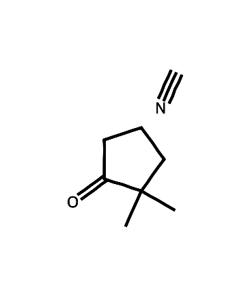 C#N.CC1(C)CCCC1=O